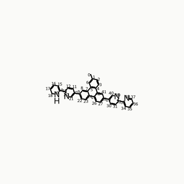 Cc1ccc2c(c1)c1cc(-c3ccc(C4=CC=CCN4)nc3)ccc1c1ccc(-c3ccc(-c4ccccn4)nc3)cc12